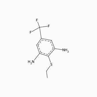 CCSc1c(N)cc(C(F)(F)F)cc1N